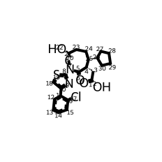 O=C(O)C[C@@H]1C(=O)N(c2nc(-c3ccccc3Cl)cs2)C[C@@H](O)CC[C@@H]1C1CCCC1